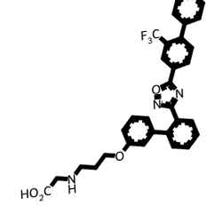 O=C(O)CNCCCOc1cccc(-c2ccccc2-c2noc(-c3ccc(-c4cccc(F)c4)c(C(F)(F)F)c3)n2)c1